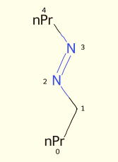 CCCC/N=N/CCC